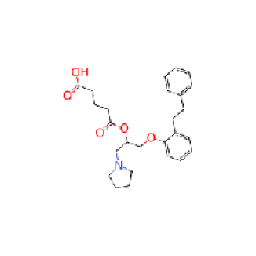 O=C(O)CCCC(=O)OC(COc1ccccc1CCc1ccccc1)CN1CCCC1